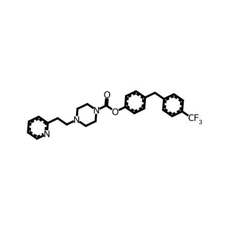 O=C(Oc1ccc(Cc2ccc(C(F)(F)F)cc2)cc1)N1CCN(CCc2ccccn2)CC1